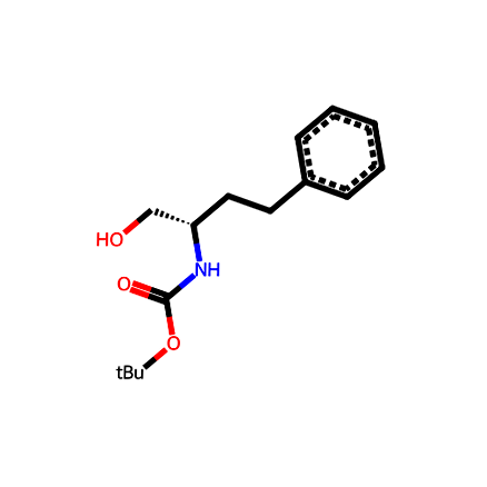 CC(C)(C)OC(=O)N[C@H](CO)CCc1ccccc1